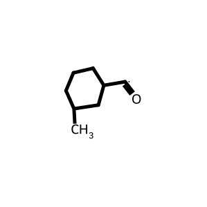 CC1CCCC([C]=O)C1